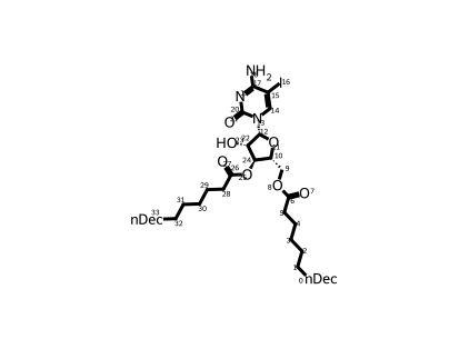 CCCCCCCCCCCCCCCC(=O)OC[C@H]1O[C@@H](n2cc(I)c(N)nc2=O)[C@@H](O)[C@@H]1OC(=O)CCCCCCCCCCCCCCC